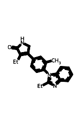 CCC1=C(c2ccc(-n3c(CC)nc4ccccc43)c(C)c2)CNC1=O